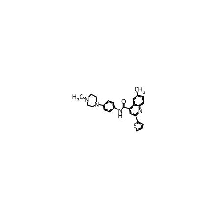 Cc1ccc2nc(-c3cccs3)cc(C(=O)Nc3ccc(N4CCN(C)CC4)cc3)c2c1